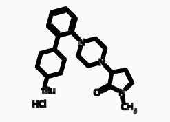 CN1CCC(N2CCN(c3ccccc3C3CCC(C(C)(C)C)CC3)CC2)C1=O.Cl